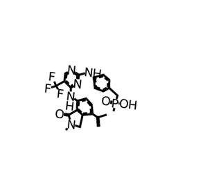 C=C(C)c1ccc(Nc2nc(Nc3ccc(CP(C)(=O)O)cc3)ncc2C(F)(F)F)c2c1CN(C)C2=O